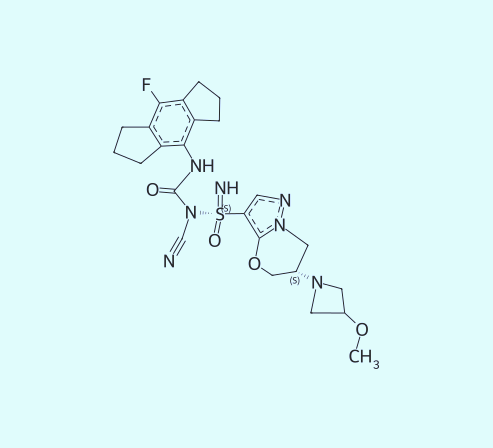 COC1CN([C@@H]2COc3c([S@](=N)(=O)N(C#N)C(=O)Nc4c5c(c(F)c6c4CCC6)CCC5)cnn3C2)C1